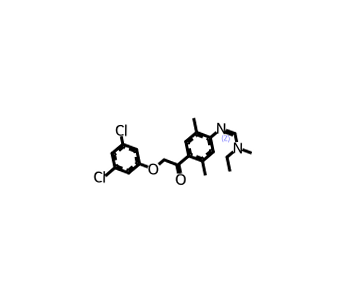 CCN(C)/C=N\c1cc(C)c(C(=O)COc2cc(Cl)cc(Cl)c2)cc1C